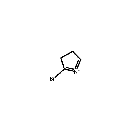 BrC1=[N+]=CCC1